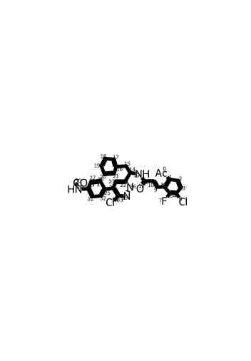 CC(=O)c1ccc(Cl)c(F)c1C=CC(=O)NC(Cc1ccccc1)c1cc(-c2ccc(NC(=O)O)cc2)c(Cl)nn1